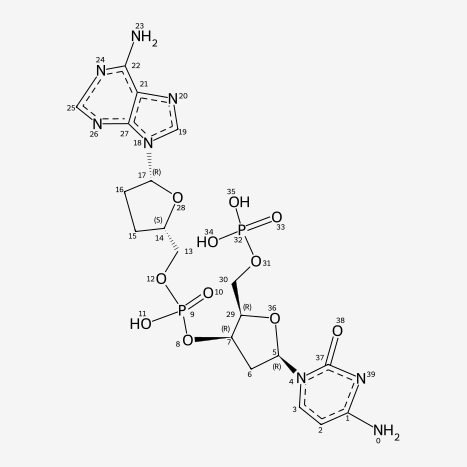 Nc1ccn([C@H]2C[C@@H](OP(=O)(O)OC[C@@H]3CC[C@H](n4cnc5c(N)ncnc54)O3)[C@@H](COP(=O)(O)O)O2)c(=O)n1